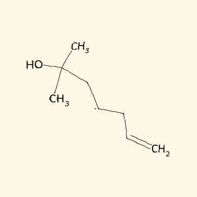 C=CC[CH]CC(C)(C)O